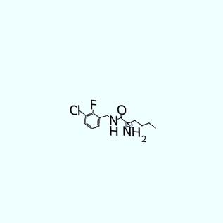 CCCC[C@H](N)C(=O)NCc1cccc(Cl)c1F